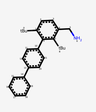 CC(C)(C)c1ccc(CN)c(C(C)(C)C)c1-c1ccc(-c2ccccc2)cc1